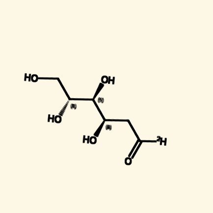 [2H]C(=O)C[C@@H](O)[C@H](O)[C@H](O)CO